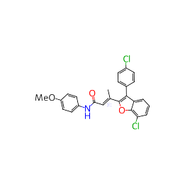 COc1ccc(NC(=O)/C=C(\C)c2oc3c(Cl)cccc3c2-c2ccc(Cl)cc2)cc1